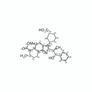 COC(=O)N1c2ccc3c(nc([C@@H](C)[C@@H](O)c4ccccc4)n3[C@@H]3CCC[C@@H](C(=O)O)C3)c2CC[C@@H]1C